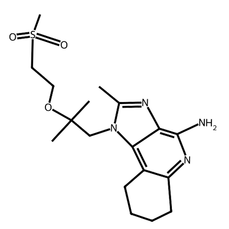 Cc1nc2c(N)nc3c(c2n1CC(C)(C)OCCS(C)(=O)=O)CCCC3